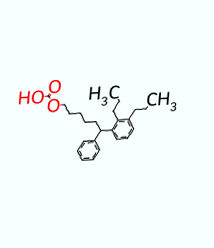 CCCc1cccc(C(CCCCCOC(=O)O)c2ccccc2)c1CCC